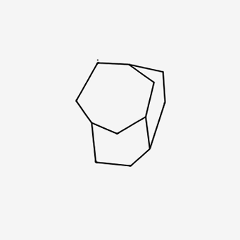 [CH]1CC2CCC3CCC1CC3C2